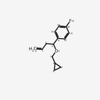 C=CCC(OCC1CC1)c1ccc(F)cc1